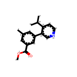 COC(=O)c1cc(C)cc(-c2cnccc2C(C)C)c1